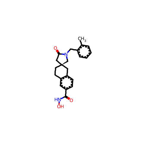 Cc1ccccc1CN1C[C@@]2(CCc3cc(C(=O)NO)ccc3C2)CC1=O